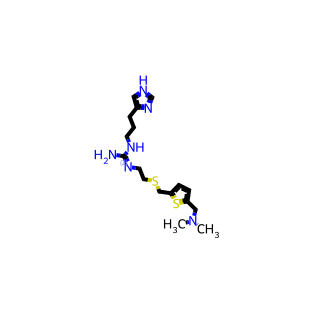 CN(C)Cc1ccc(CSCC/N=C(/N)NCCCc2c[nH]cn2)s1